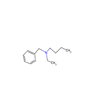 CCCCN(CC)Cc1[c]cccc1